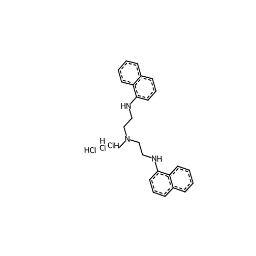 CN(CCNc1cccc2ccccc12)CCNc1cccc2ccccc12.Cl.Cl.Cl